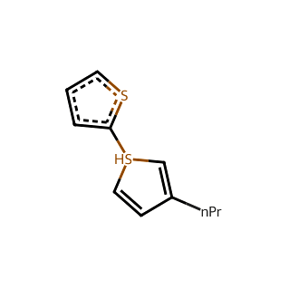 CCCC1=C[SH](c2cccs2)C=C1